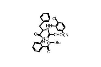 CC(C)(C)OC(=O)c1ccccc1NC(=O)C(Cc1ccccc1)N(Nc1cc(C#N)ccc1Cl)C(=O)C=O